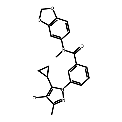 Cc1nn(-c2cccc(C(=O)N(C)c3ccc4c(c3)OCO4)c2)c(C2CC2)c1Cl